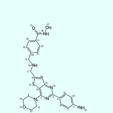 Nc1ccc(-c2nc(N3CCOCC3)c3sc(CNCc4ccc(C(=O)NO)cc4)cc3n2)cc1